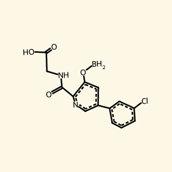 BOc1cc(-c2cccc(Cl)c2)cnc1C(=O)NCC(=O)O